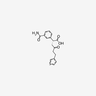 NC(=O)c1cccc([C@@H](CC(=O)CCc2ccsc2)C(=O)O)c1